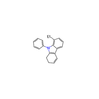 CCc1cccc2c3c(n(-c4ccccc4)c12)CCC=C3